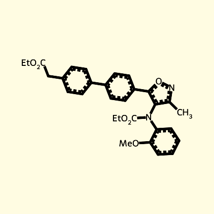 CCOC(=O)Cc1ccc(-c2ccc(-c3onc(C)c3N(C(=O)OCC)c3ccccc3OC)cc2)cc1